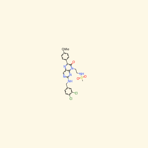 COc1ccc(-c2nc3cnc(NCc4ccc(Cl)c(Cl)c4)nc3n(CCNS(C)(=O)=O)c2=O)cc1